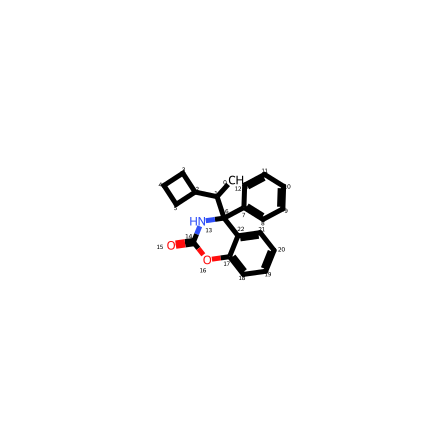 CC(C1CCC1)C1(c2ccccc2)NC(=O)Oc2ccccc21